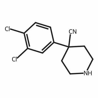 N#CC1(c2ccc(Cl)c(Cl)c2)CCNCC1